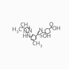 Cc1cc(Nc2nccc(C(C)C)n2)cc(-c2cnc(C3(O)CCC(C(=O)O)CC3)s2)c1